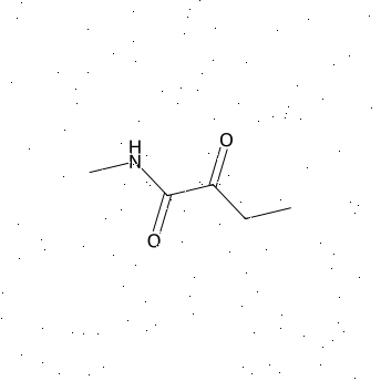 CCC(=O)C(=O)NC